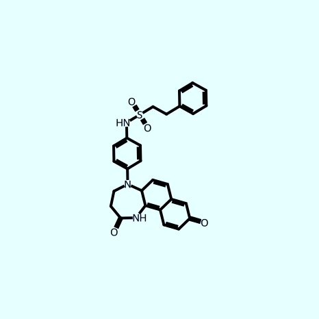 O=C1C=CC2=C3NC(=O)CCN(c4ccc(NS(=O)(=O)CCc5ccccc5)cc4)C3C=CC2=C1